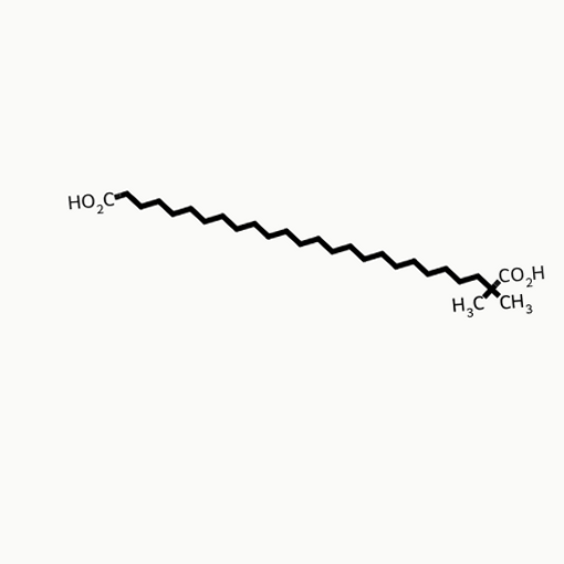 CC(C)(CCCCCCCCCCCCCCCCCCCCCCCC(=O)O)C(=O)O